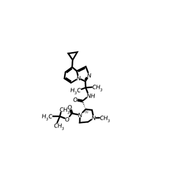 CN1CCN(C(=O)OC(C)(C)C)[C@H](C(=O)NC(C)(C)c2ncc3c(C4CC4)cccn23)C1